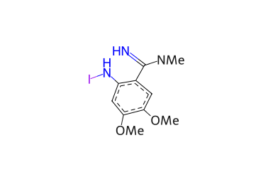 CNC(=N)c1cc(OC)c(OC)cc1NI